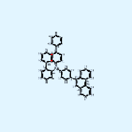 c1ccc(-c2ccc(N(c3ccc(-c4cc5ccccc5c5ccccc45)cc3)c3ccccc3-c3ccccc3)cc2)cc1